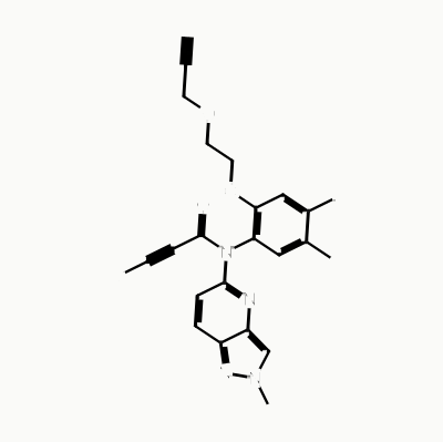 C#CCOCCOc1cc(I)c(C)cc1N(C(=O)C#CCC)c1ccc2nn(C)cc2n1